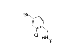 CCC(C)c1ccc(CNF)c(Cl)c1